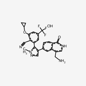 Cl.Cn1ncc(-c2ccc3c(=O)[nH]cc(CN)c3c2)c1-c1cc(C(F)(F)F)cc(OC2CC2)c1C#N